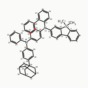 CS1(C)c2ccccc2-c2ccc(N(c3ccc(N(c4ccccc4)c4ccc(C56CC7CC(CC(C7)C5)C6)cc4)cc3)c3ccccc3-c3ccccc3)cc21